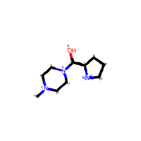 CN1CCN(C(O)C2CCCN2)CC1